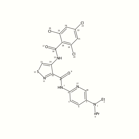 CCCN(CC)c1ccc(NC(=O)c2nscc2NC(=O)c2c(Cl)cc(Cl)cc2Cl)nc1